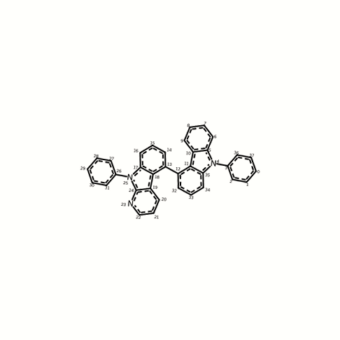 c1ccc(-n2c3ccccc3c3c(-c4cccc5c4c4cccnc4n5-c4ccccc4)cccc32)cc1